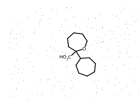 O=C(O)C1(C2CCCCCC2)CCCCCO1